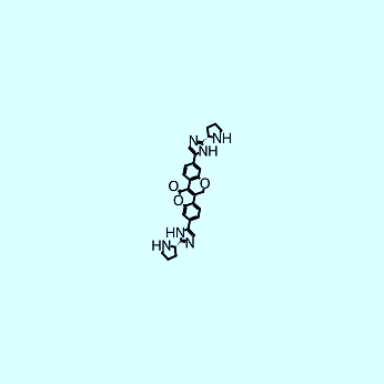 O=c1oc2cc(-c3cnc([C@@H]4CCCN4)[nH]3)ccc2c2c1-c1ccc(-c3cnc([C@@H]4CCCN4)[nH]3)cc1OC2